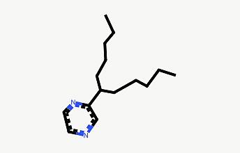 CCCCCC(CCCCC)c1cnccn1